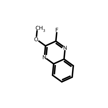 COc1nc2ccccc2nc1F